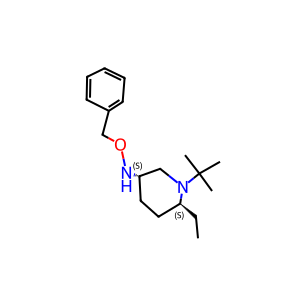 CC[C@H]1CC[C@H](NOCc2ccccc2)CN1C(C)(C)C